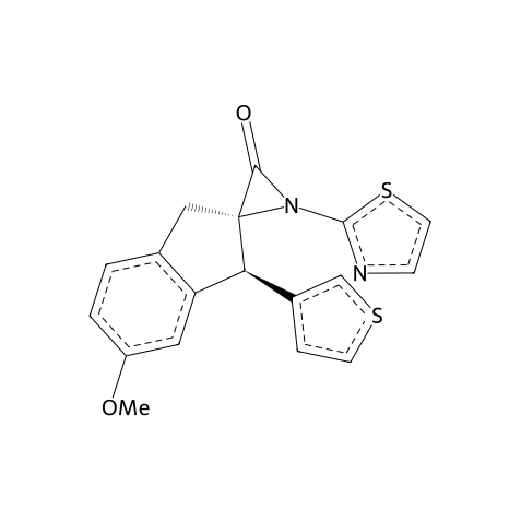 COc1ccc2c(c1)[C@H](c1ccsc1)[C@@]1(C2)C(=O)N1c1nccs1